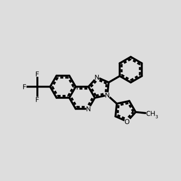 Cc1cc(-n2c(-c3ccccc3)nc3c4ccc(C(F)(F)F)cc4cnc32)co1